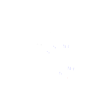 Cc1nnc(NC(C)c2cccc(C(F)(F)F)c2)c2cc3[nH]c(=O)n(C)c3cc12